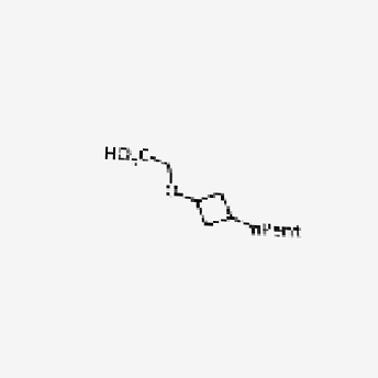 CCCCCC1CC(OCC(=O)O)C1